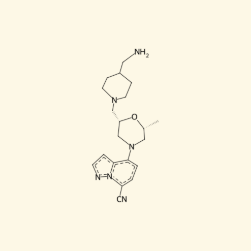 C[C@@H]1CN(c2ccc(C#N)n3nccc23)C[C@H](CN2CCC(CN)CC2)O1